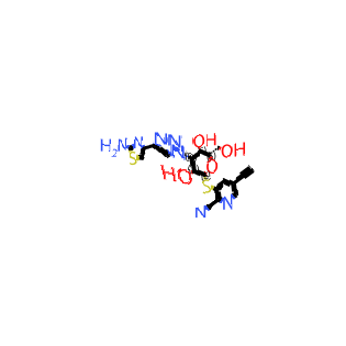 C#Cc1cnc(C#N)c(S[C@@H]2O[C@@H](CO)[C@@H](O)[C@@H](n3cc(-c4csc(N)n4)nn3)[C@@H]2O)c1